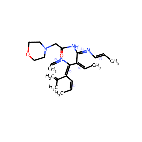 C=C(C)C(/C=C\C)=C(\N=C/C)C(=C/C)/C(=N\C=C\C)NC(=O)CN1CCOCC1